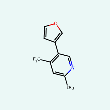 CC(C)(C)c1cc(C(F)(F)F)c(-c2ccoc2)cn1